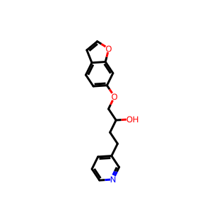 OC(CCc1cccnc1)COc1ccc2ccoc2c1